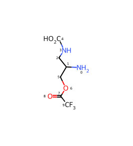 NC(CNC(=O)O)COC(=O)C(F)(F)F